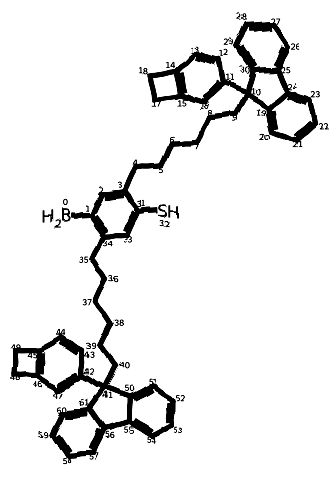 Bc1cc(CCCCCCC2(c3ccc4c(c3)CC4)c3ccccc3-c3ccccc32)c(S)cc1CCCCCCC1(c2ccc3c(c2)CC3)c2ccccc2-c2ccccc21